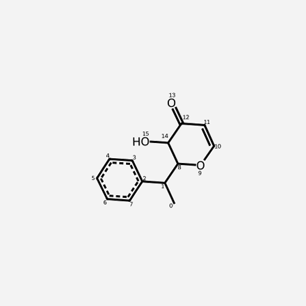 CC(c1ccccc1)C1OC=CC(=O)C1O